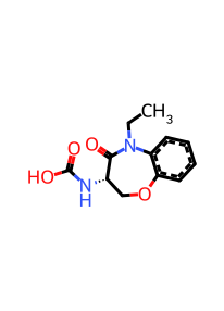 CCN1C(=O)[C@@H](NC(=O)O)COc2ccccc21